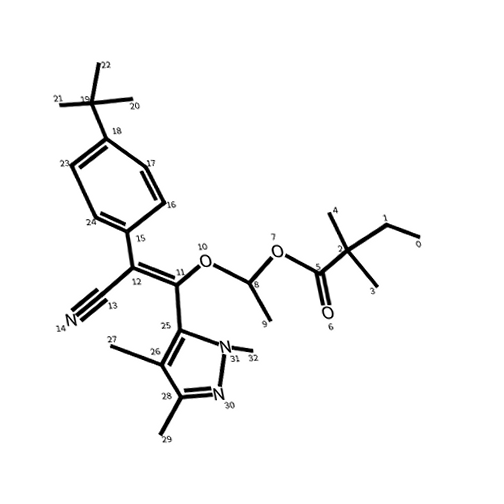 CCC(C)(C)C(=O)OC(C)O/C(=C(/C#N)c1ccc(C(C)(C)C)cc1)c1c(C)c(C)nn1C